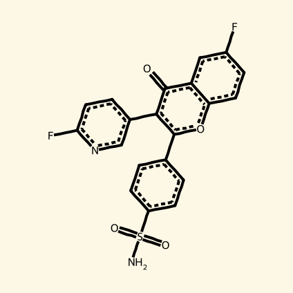 NS(=O)(=O)c1ccc(-c2oc3ccc(F)cc3c(=O)c2-c2ccc(F)nc2)cc1